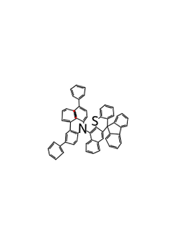 c1ccc(-c2ccc(N(c3ccc(-c4ccccc4)cc3-c3ccccc3)c3c4c(cc5ccccc35)C3(c5ccccc5S4)c4ccccc4-c4ccccc43)cc2)cc1